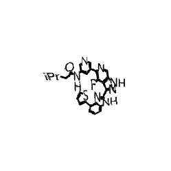 CC(C)CC(=O)Nc1cncc(-c2ncc3[nH]nc(-c4nc5c(-c6cccs6)cccc5[nH]4)c3c2F)c1